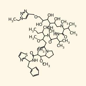 CCC(C)C(C(CC(=O)N1CCCC1C(OC)C(C)C(=O)NC(Cc1ccccc1)c1nccs1)OC)N(C)C(=O)C(NC(=O)C(C(C)C)N(C)CC(O)C(O)C(O)C(O)COCc1cn(CC)nn1)C(C)C